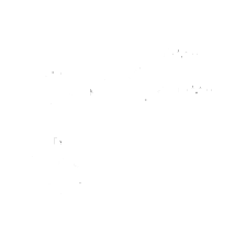 COc1ccc(C(=O)N2c3ccccc3C(N3CCc4ccccc43)CC2C)cc1OC